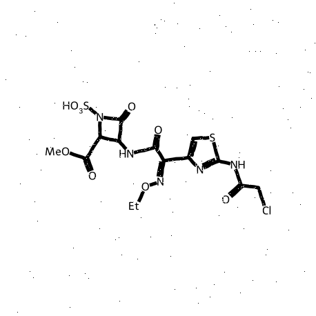 CCON=C(C(=O)NC1C(=O)N(S(=O)(=O)O)C1C(=O)OC)c1csc(NC(=O)CCl)n1